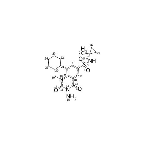 CC1(NS(=O)(=O)c2ccc3c(c2)c(=O)n(N)c(=O)n3CC2CCCCC2)CC1